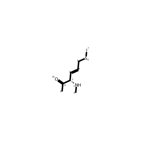 CN[C@@H](/C=C/CSI)C(C)=O